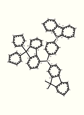 CC1(C)c2ccccc2-c2ccc(N(c3ccc(-n4c5ccccc5c5ccccc54)cc3)c3cccc4c3-c3ccccc3C4(c3ccccc3)c3ccccc3)cc21